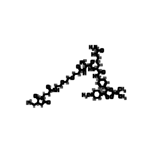 CC(C)CC1CC(=O)N(CCC(=O)NCCOCCOCCC(=O)N[C@H](C(=O)N[C@@H](CCCNC(N)=O)C(=O)Nc2ccc(C(OC(=O)N(C)C)C(=O)N3CCN(C)CC3)cc2)C(C)C)C1=O